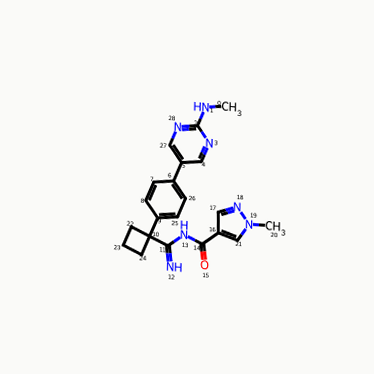 CNc1ncc(-c2ccc(C3(C(=N)NC(=O)c4cnn(C)c4)CCC3)cc2)cn1